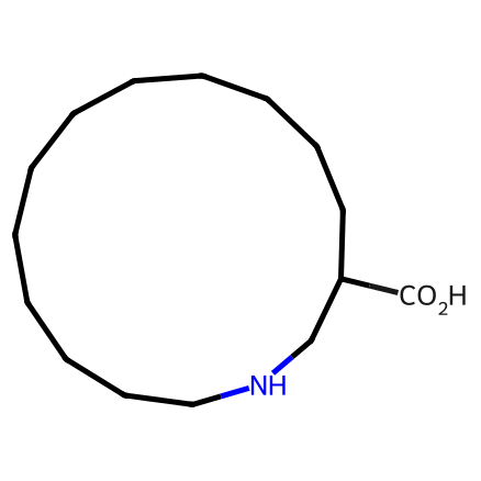 O=C(O)C1CCCCCCCCCCCCNC1